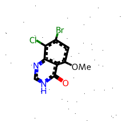 COc1cc(Br)c(Cl)c2nc[nH]c(=O)c12